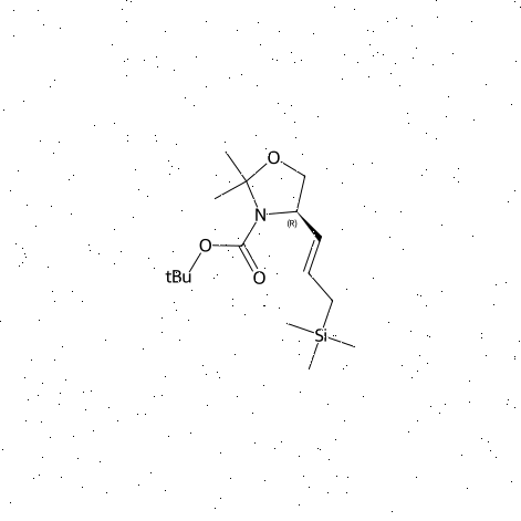 CC(C)(C)OC(=O)N1[C@H](C=CC[Si](C)(C)C)COC1(C)C